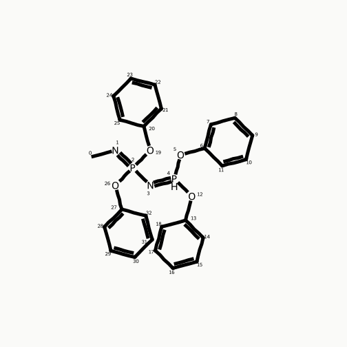 CN=P(N=[PH](Oc1ccccc1)Oc1ccccc1)(Oc1ccccc1)Oc1ccccc1